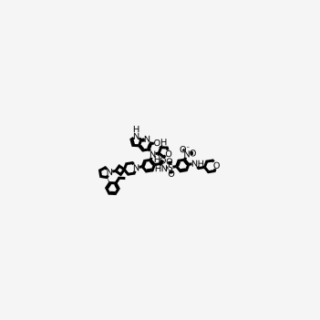 CCc1ccccc1[C@@H]1CCCN1C1CC2(CCN(c3ccc(C(=O)NS(=O)(=O)c4ccc(NCC5CCOCC5)c([N+](=O)[O-])c4)c(N4c5cc6cc[nH]c6nc5O[C@H]5COC[C@@H]54)c3)CC2)C1